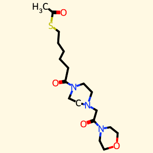 CC(=O)SCCCCCC(=O)N1CCN(CC(=O)N2CCOCC2)CC1